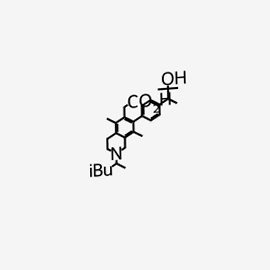 CCC(C)C(C)N1CCc2c(C)c(CC(=O)O)c(-c3ccc(C(C)C(C)(C)O)cc3)c(C)c2C1